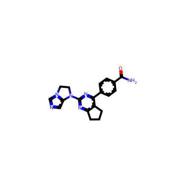 NC(=O)c1ccc(-c2nc(N3CCn4cncc43)nc3c2CCC3)cc1